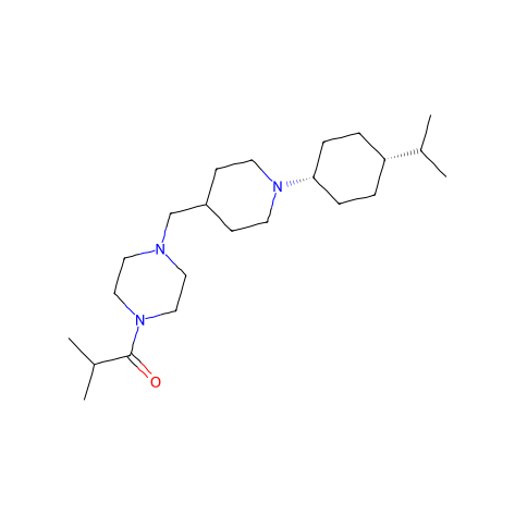 CC(C)C(=O)N1CCN(CC2CCN([C@H]3CC[C@@H](C(C)C)CC3)CC2)CC1